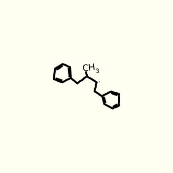 CC([CH]Cc1ccccc1)Cc1ccccc1